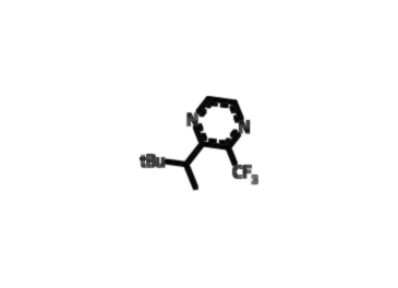 CC(c1nccnc1C(F)(F)F)C(C)(C)C